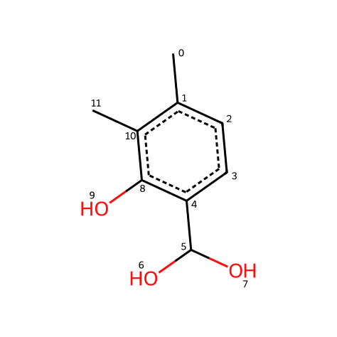 Cc1ccc(C(O)O)c(O)c1C